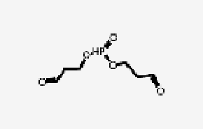 O=CCCO[PH](=O)OCCC=O